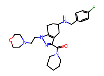 O=C(c1nn(CCN2CCOCC2)c2c1CC(NCc1ccc(F)cc1)CC2)N1CCCCC1